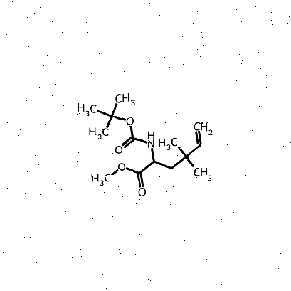 C=CC(C)(C)CC(NC(=O)OC(C)(C)C)C(=O)OC